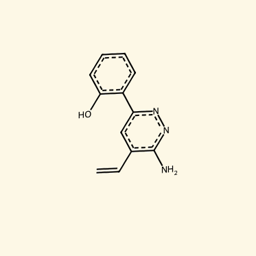 C=Cc1cc(-c2ccccc2O)nnc1N